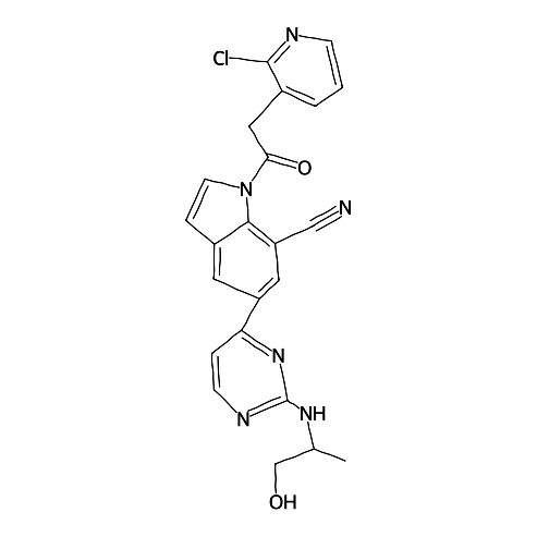 CC(CO)Nc1nccc(-c2cc(C#N)c3c(ccn3C(=O)Cc3cccnc3Cl)c2)n1